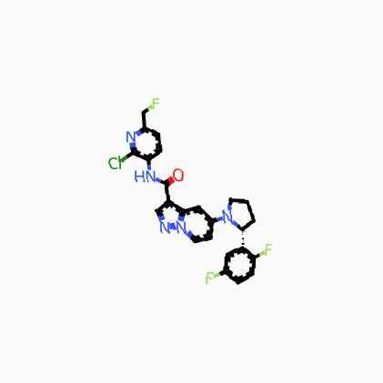 O=C(Nc1ccc(CF)nc1Cl)c1cnn2ccc(N3CCC[C@@H]3c3cc(F)ccc3F)cc12